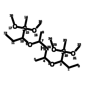 CCC(OC(C)NC(C)OC(CC)[Si](C)(OC)OC)[Si](C)(OC)OC